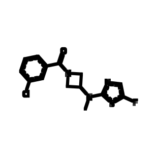 CN(c1ncc(F)s1)C1CN(C(=O)c2cccc(Cl)c2)C1